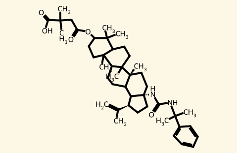 C=C(C)[C@@H]1CC[C@]2(NC(=O)NC(C)(C)c3ccccc3)CC[C@]3(C)C(CCC4C5(C)CCC(OC(=O)CC(C)(C)C(=O)O)C(C)(C)C5CCC43C)C12